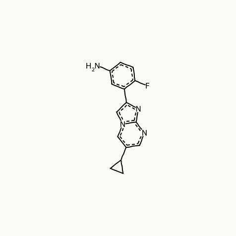 Nc1ccc(F)c(-c2cn3cc(C4CC4)cnc3n2)c1